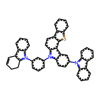 C1=Cc2c(n(-c3cccc(-n4c5ccc(-n6c7ccccc7c7ccccc76)cc5c5c6sc7ccccc7c6ccc54)c3)c3ccccc23)CC1